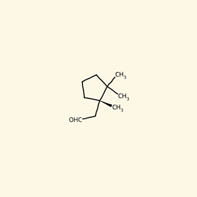 CC1(C)CCC[C@@]1(C)CC=O